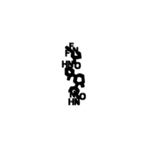 C=C1CC=CC(c2cc(NC(=O)c3ccnc(C(C)(F)F)c3)ccc2C)=CC1c1ccnc(C(=O)NC)c1